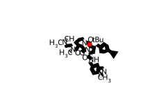 CN(C)CCN(C)C(=O)C1CCCN(C(=O)OC(C)(C)C)C1C(=O)N1C[C@H](Cc2ccc(C3CC3)cc2)C[C@H]1C(=O)NCc1ccc2c(cnn2C)c1